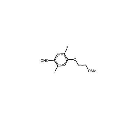 COCCOc1cc(F)c(C=O)cc1F